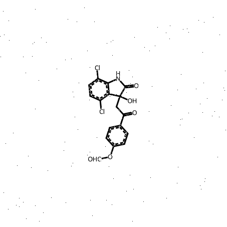 O=COc1ccc(C(=O)CC2(O)C(=O)Nc3c(Cl)ccc(Cl)c32)cc1